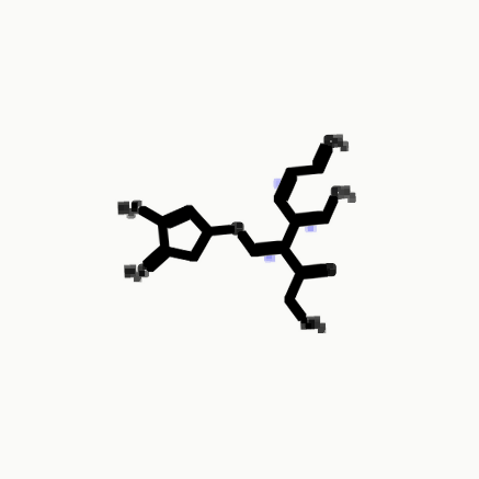 C=C\C=C/C(=C\C)C(=C\OC1C=C(C)C(=C)C1)/C(=O)CN